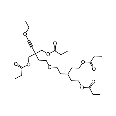 CCOC#CC(CCOCCC(CCOC(=O)CC)CCOC(=O)CC)(COC(=O)CC)COC(=O)CC